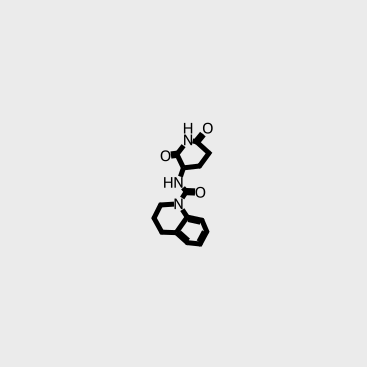 O=C1CCC(NC(=O)N2CCCc3ccccc32)C(=O)N1